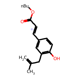 C=C(C)Cc1cc(/C=C/C(=O)OCCCC)ccc1O